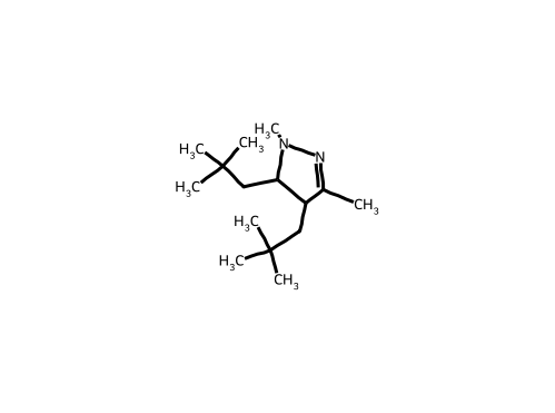 CC1=NN(C)C(CC(C)(C)C)C1CC(C)(C)C